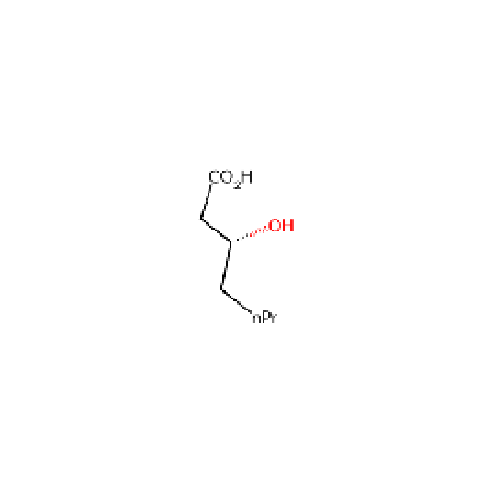 CCCC[C@@H](O)CC(=O)O